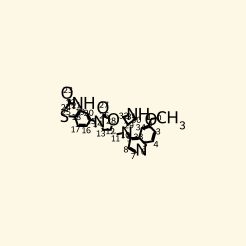 COc1ccc2nccc(N(C[C@@H]3CN(c4ccc5c(c4)NC(=O)CS5)C(=O)O3)C3CNC3)c2c1